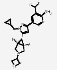 Nc1ncc(-c2cc([C@@H]3[C@@H]4CN(C5COC5)C[C@@H]43)n(CC3CC3)n2)cc1C(F)F